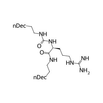 CCCCCCCCCCCCNC(=O)N[C@@H](CCCNC(=N)N)C(=O)NCCCCCCCCCCCC